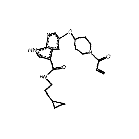 C=CC(=O)N1CCC(Oc2cnc3[nH]cc(C(=O)NCCC4CC4)c3c2)CC1